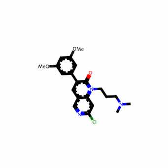 COc1cc(OC)cc(-c2cc3cnc(Cl)cc3n(CCCN(C)C)c2=O)c1